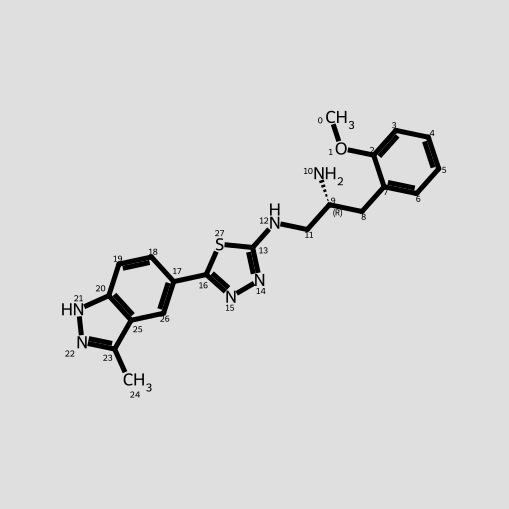 COc1ccccc1C[C@@H](N)CNc1nnc(-c2ccc3[nH]nc(C)c3c2)s1